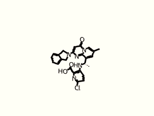 Cc1cc([C@H](C)Nc2ccc(Cl)nc2C(=O)O)c2nc(N3Cc4ccccc4C3)cc(=O)n2c1